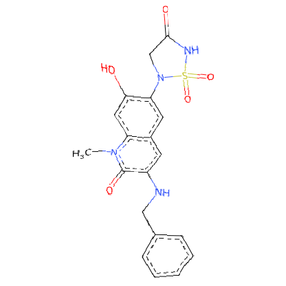 Cn1c(=O)c(NCc2ccccc2)cc2cc(N3CC(=O)NS3(=O)=O)c(O)cc21